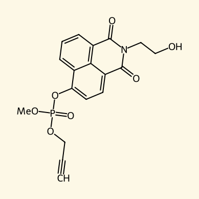 C#CCOP(=O)(OC)Oc1ccc2c3c(cccc13)C(=O)N(CCO)C2=O